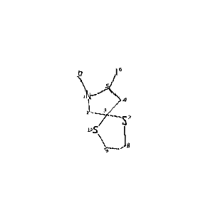 CN1CC2(CC1I)SCCS2